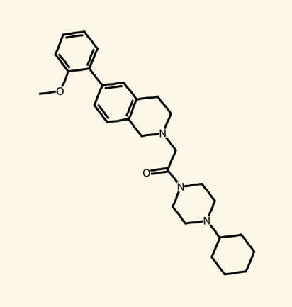 COc1ccccc1-c1ccc2c(c1)CCN(CC(=O)N1CCN(C3CCCCC3)CC1)C2